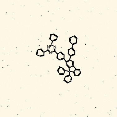 c1ccc(-c2ccc(-c3cc4c(cc3-c3ccc(-c5nc(-c6ccccc6)nc(-c6ccccc6)n5)cc3)C(c3ccccc3)(c3ccccc3)c3ccccc3-4)cc2)cc1